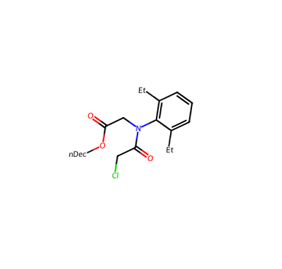 CCCCCCCCCCOC(=O)CN(C(=O)CCl)c1c(CC)cccc1CC